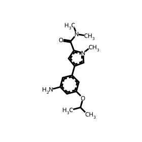 CC(C)Oc1cc(N)cc(-c2cc(C(=O)N(C)C)n(C)c2)c1